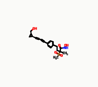 CC(CCc1ccc(C#CC#C[C@H]2C[C@H]2CO)cc1)(C(=O)NO)S(C)(=O)=O